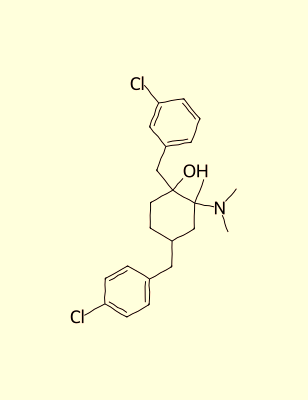 CN(C)C1(C)CC(Cc2ccc(Cl)cc2)CCC1(O)Cc1cccc(Cl)c1